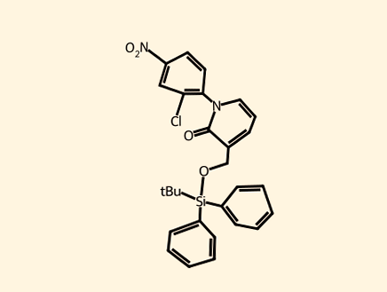 CC(C)(C)[Si](OCc1cccn(-c2ccc([N+](=O)[O-])cc2Cl)c1=O)(c1ccccc1)c1ccccc1